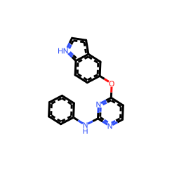 c1ccc(Nc2nccc(Oc3ccc4[nH]ccc4c3)n2)cc1